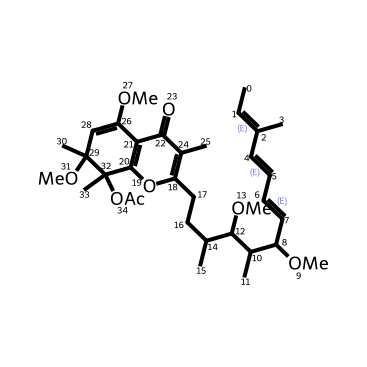 C/C=C(C)/C=C/C=C/C(OC)C(C)C(OC)C(C)CCc1oc2c(c(=O)c1C)C(OC)=CC(C)(OC)C2(C)OC(C)=O